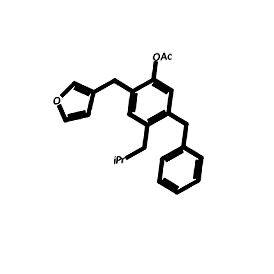 CC(=O)Oc1cc(Cc2ccccc2)c(CC(C)C)cc1Cc1ccoc1